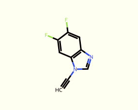 C#Cn1cnc2cc(F)c(F)cc21